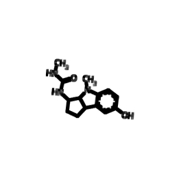 CNC(=O)NC1CCC2c3cc(O)ccc3N(C)C12